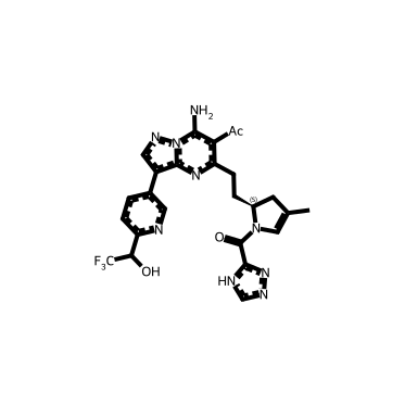 CC(=O)c1c(CC[C@H]2CC(C)=CN2C(=O)c2nnc[nH]2)nc2c(-c3ccc(C(O)C(F)(F)F)nc3)cnn2c1N